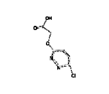 O=C(O)COc1ccc(Cl)nn1